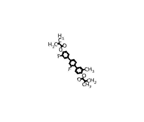 C=C(C)C(=O)Oc1ccc(-c2ccc(-c3ccc(OC(=O)C(=C)C)c(F)c3)cc2F)cc1C